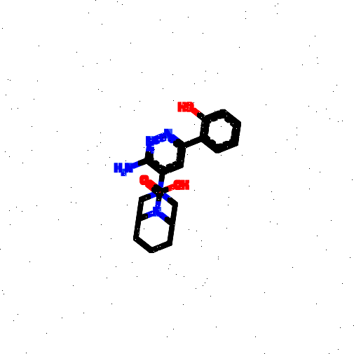 Nc1nnc(-c2ccccc2O)cc1N1CC2CCCC(C1)N2C(=O)O